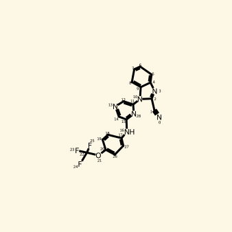 N#Cc1nc2ccccc2n1-c1cncc(Nc2ccc(OC(F)(F)F)cc2)n1